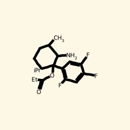 CCC(=O)OC1(c2cc(F)c(F)cc2F)C(N)C(C)CCC1C(C)C